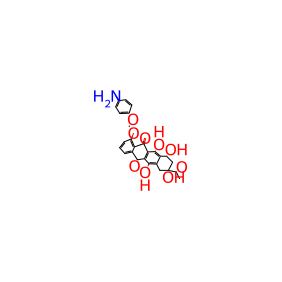 CC(=O)C1(O)Cc2c(O)c3c(c(O)c2C(O)C1)C(=O)c1c(OCOc2ccc(N)cc2)cccc1C3=O